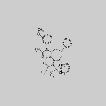 COc1cccc(N(C(N)=O)C2CC(c3ccccc3)CC(c3ccccc3)N(N(C(C)=O)C(C)(C)C)C2=O)c1